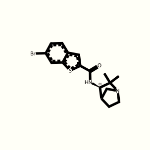 CC1(C)[C@H](NC(=O)c2cc3ccc(Br)cc3s2)C2CCN1C2